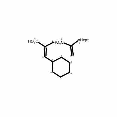 C=C(CCCCCCC)C(=O)O.CC(=CC1CCCCC1)C(=O)O